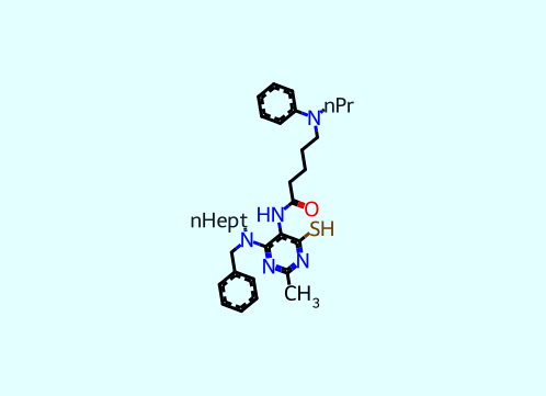 CCCCCCCN(Cc1ccccc1)c1nc(C)nc(S)c1NC(=O)CCCCN(CCC)c1ccccc1